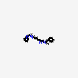 C[C@@H](Cc1ccccc1)NCCCCCCCN[C@@H](C)Cc1ccccc1